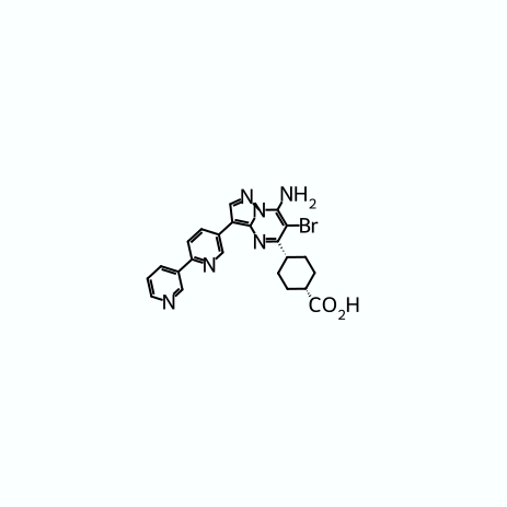 Nc1c(Br)c([C@H]2CC[C@@H](C(=O)O)CC2)nc2c(-c3ccc(-c4cccnc4)nc3)cnn12